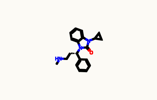 CNCC[C@@H](c1ccccc1)n1c(=O)n(C2CC2)c2ccccc21